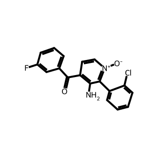 Nc1c(C(=O)c2cccc(F)c2)cc[n+]([O-])c1-c1ccccc1Cl